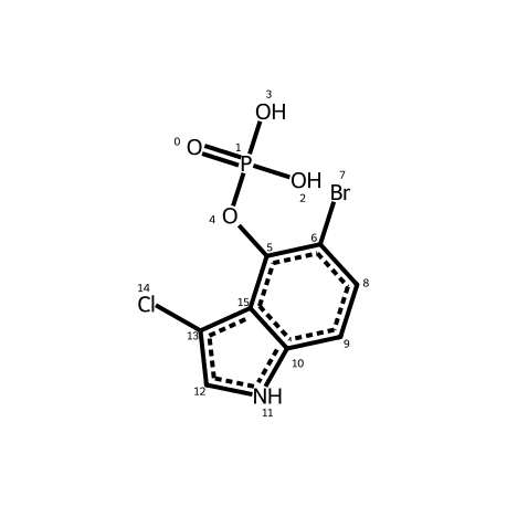 O=P(O)(O)Oc1c(Br)ccc2[nH]cc(Cl)c12